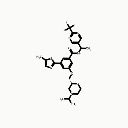 Cc1cnc(-c2cc(OC[C@H]3CN(C(C)C)CCO3)cc(C(=O)NC(C)c3cnc(C(F)(F)F)nc3)c2)s1